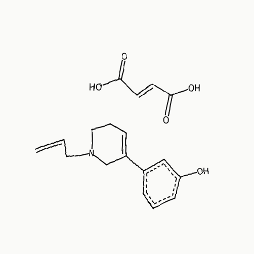 C=CCN1CCC=C(c2cccc(O)c2)C1.O=C(O)C=CC(=O)O